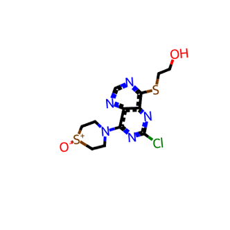 [O-][S+]1CCN(c2nc(Cl)nc3c(SCCO)ncnc23)CC1